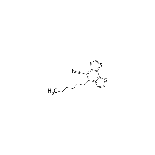 CCCCCCc1c(C#N)c2ccsc2c2sccc12